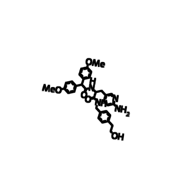 COc1ccc(C(C(=O)NC(Cc2ccc(N)nc2)C(=O)NCc2ccc(CCO)cc2)c2ccc(OC)cc2)cc1